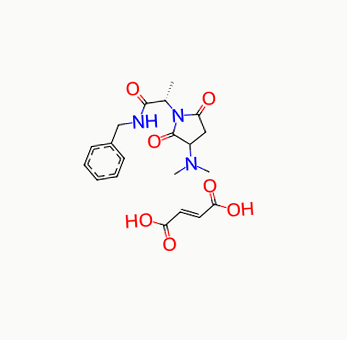 C[C@@H](C(=O)NCc1ccccc1)N1C(=O)CC(N(C)C)C1=O.O=C(O)/C=C/C(=O)O